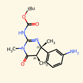 C[C@H]1C(=O)N(C)C(NC(=O)OC(C)(C)C)=N[C@]1(C)c1cccc(N)c1